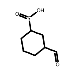 O=CC1CCCC(S(=O)O)C1